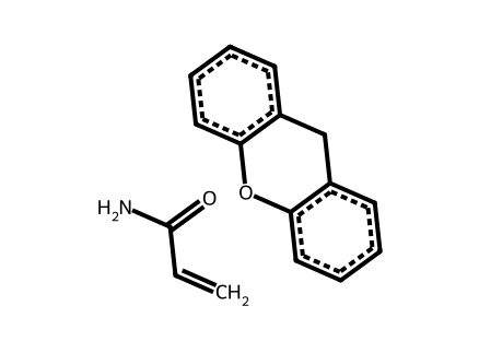 C=CC(N)=O.c1ccc2c(c1)Cc1ccccc1O2